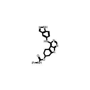 CC(C)NC(=O)OC1CCc2c(sc3ncnc(Nc4ccc5[nH]ncc5c4)c23)C1